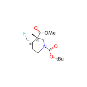 COC(=O)[C@]1(C)CN(C(=O)OC(C)(C)C)CC[C@@H]1CF